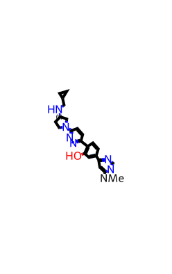 CNc1cc(-c2ccc(-c3ccc(N4CC[C@@H](NCC5CC5)C4)nn3)c(O)c2)ncn1